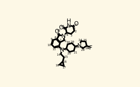 O=C1CCC(N2Cc3c(cccc3N(CCC3CC3)C3CCC(N4CCC(F)C4)CC3)C2=O)C(=O)N1